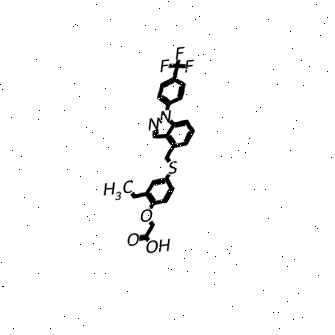 CCc1cc(SCc2cccc3c2cnn3-c2ccc(C(F)(F)F)cc2)ccc1OCC(=O)O